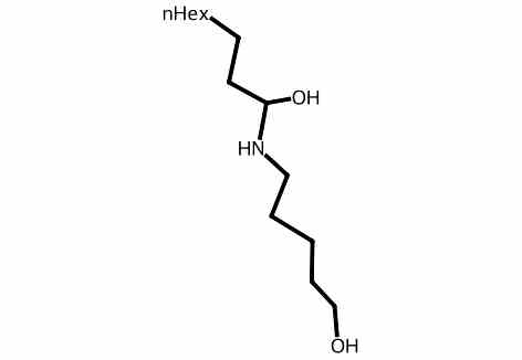 CCCCCCCCC(O)NCCCCCO